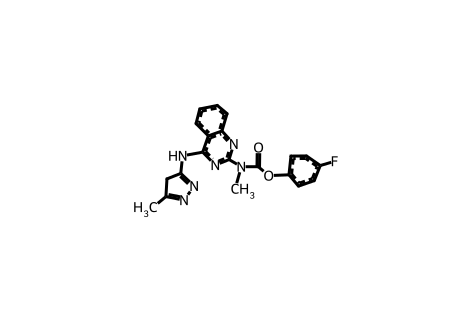 CC1=NN=C(Nc2nc(N(C)C(=O)Oc3ccc(F)cc3)nc3ccccc23)C1